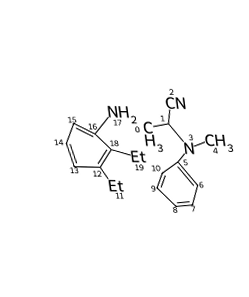 CC(C#N)N(C)c1ccccc1.CCc1cccc(N)c1CC